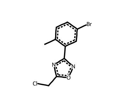 Cc1ccc(Br)cc1-c1noc(CCl)n1